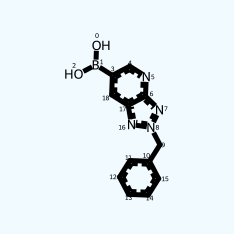 OB(O)c1cnc2nn(Cc3ccccc3)nc2c1